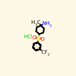 CC1(N)CCC(S(=O)(=O)c2cccc(C(F)(F)F)c2)CC1.Cl